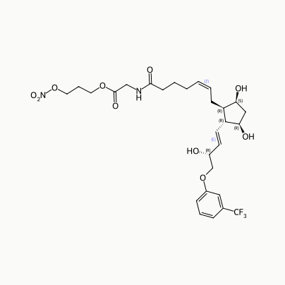 O=C(CCC/C=C\C[C@@H]1[C@@H](/C=C/[C@@H](O)COc2cccc(C(F)(F)F)c2)[C@H](O)C[C@@H]1O)NCC(=O)OCCCO[N+](=O)[O-]